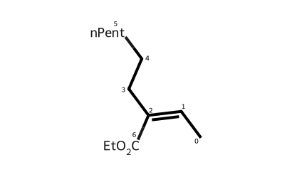 CC=C(CCCCCCC)C(=O)OCC